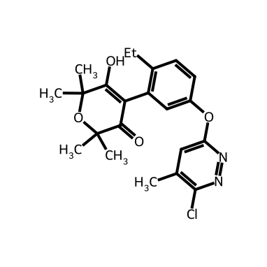 CCc1ccc(Oc2cc(C)c(Cl)nn2)cc1C1=C(O)C(C)(C)OC(C)(C)C1=O